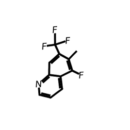 Cc1c(C(F)(F)F)cc2ncccc2c1F